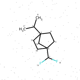 CC(C)C12CCC(C(F)F)(CC1)C2